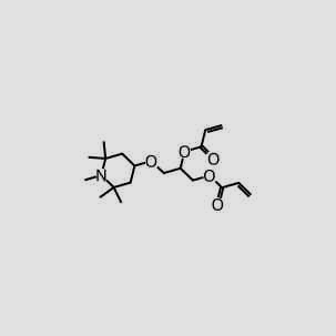 C=CC(=O)OCC(COC1CC(C)(C)N(C)C(C)(C)C1)OC(=O)C=C